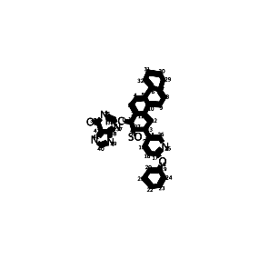 CC1c2ccc3c4c(ccc3c2=CC(c2ccc(Oc3ccccc3)nc2)C1S(=O)(=O)O)CC=CC=4.O=C1N=CN=C2N=CN=C12